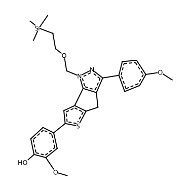 COc1ccc(-c2nn(COCC[Si](C)(C)C)c3c2Cc2sc(-c4ccc(O)c(OC)c4)cc2-3)cc1